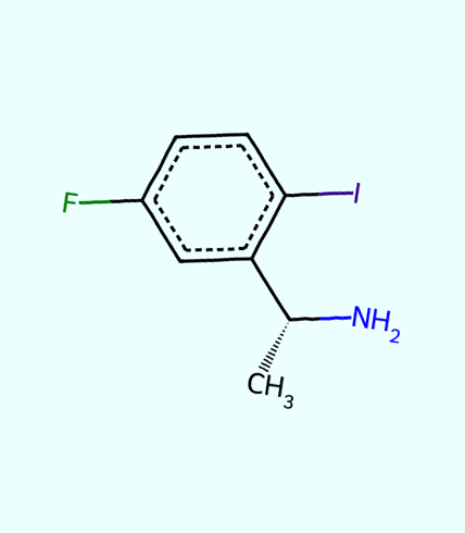 C[C@@H](N)c1cc(F)ccc1I